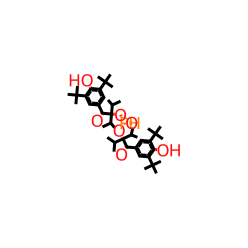 CC(C)C(O[PH](=O)OC(C(=O)c1cc(C(C)(C)C)c(O)c(C(C)(C)C)c1)(C(C)C)C(C)C)(C(=O)c1cc(C(C)(C)C)c(O)c(C(C)(C)C)c1)C(C)C